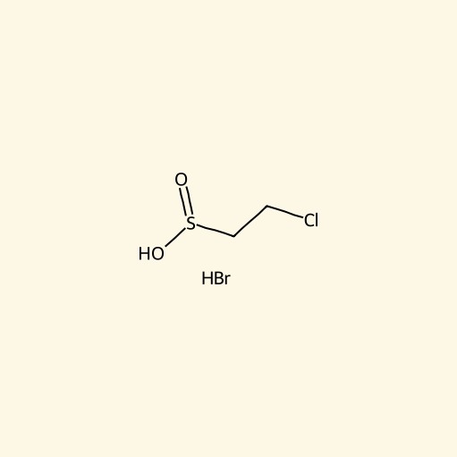 Br.O=S(O)CCCl